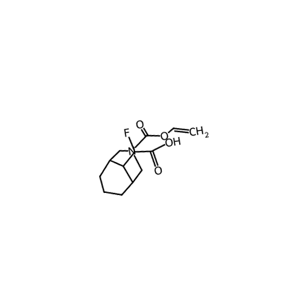 C=COC(=O)N1CC2CCCC(C1)C2C(F)C(=O)O